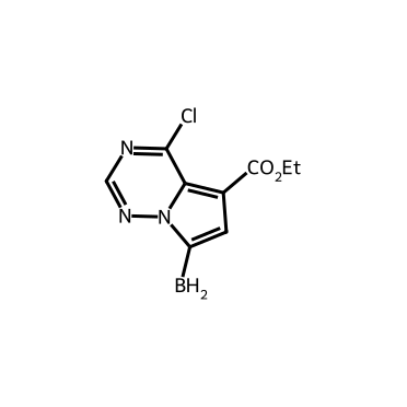 Bc1cc(C(=O)OCC)c2c(Cl)ncnn12